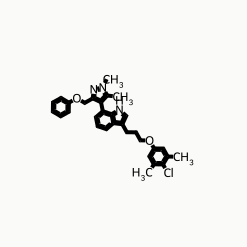 Cc1cc(OCCCc2c[nH]c3c(-c4c(COc5ccccc5)nn(C)c4C)cccc23)cc(C)c1Cl